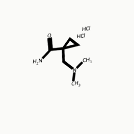 CN(C)CC1(C(N)=O)CC1.Cl.Cl